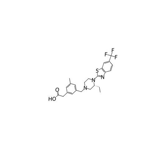 CC[C@@H]1CN(Cc2cc(C)cc(CC(=O)O)c2)CCN1c1nc2ccc(C(F)(F)F)cc2s1